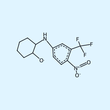 [O]C1CCCCC1Nc1ccc([N+](=O)[O-])c(C(F)(F)F)c1